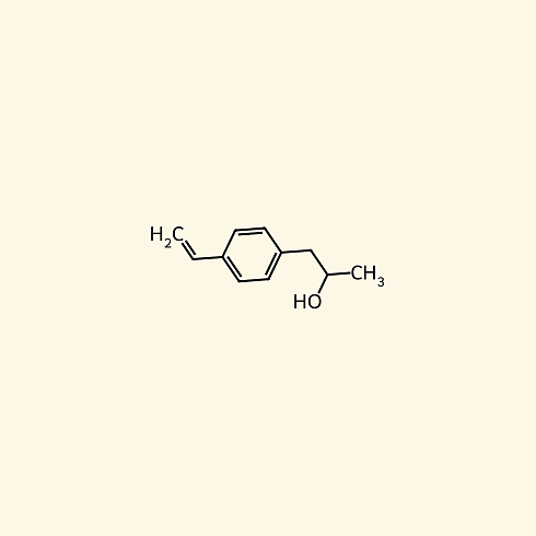 C=Cc1ccc(CC(C)O)cc1